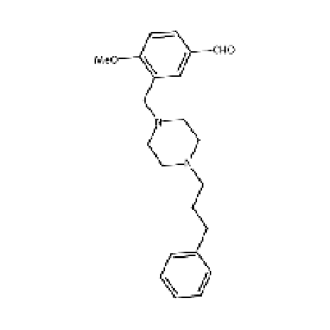 COc1ccc(C=O)cc1CN1CCN(CCCc2ccccc2)CC1